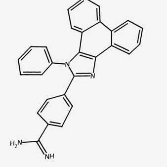 N=C(N)c1ccc(-c2nc3c4ccccc4c4ccccc4c3n2-c2ccccc2)cc1